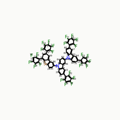 Fc1c(F)c(F)c(-c2cc(-c3c(F)c(F)c(F)c(F)c3F)c3sc4ccc(-n5c6ccc(-c7c(F)c(F)c(F)c(F)c7F)cc6c6cc(-n7c8ccc(-c9c(F)c(F)c(F)c(F)c9F)cc8c8cc(-c9c(F)c(F)c(F)c(F)c9F)ccc87)ccc65)cc4c3c2)c(F)c1F